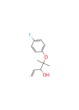 [CH]=CC(O)C(C)(C)Oc1ccc(F)cc1